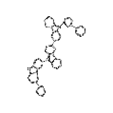 c1ccc(-c2cccc(-n3c4ccccc4c4cc(-c5ccc6c(c5)c5ccccc5n6-c5ccc6oc7ccc(-c8ccccc8)cc7c6c5)ccc43)c2)cc1